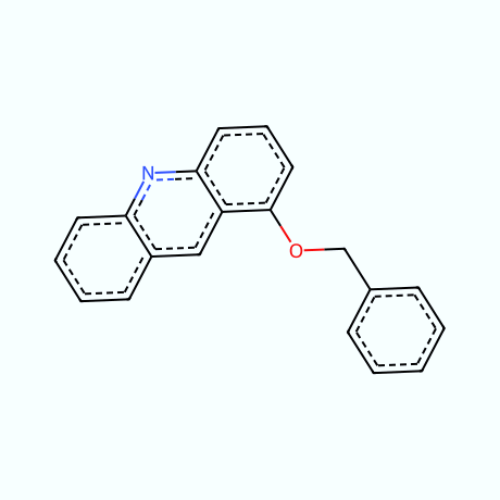 c1ccc(COc2cccc3nc4ccccc4cc23)cc1